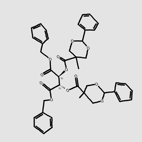 CC1(C(=O)O[C@H](C(=O)OCc2ccccc2)[C@H](OC(=O)C2(C)COC(c3ccccc3)OC2)C(=O)OCc2ccccc2)COC(c2ccccc2)OC1